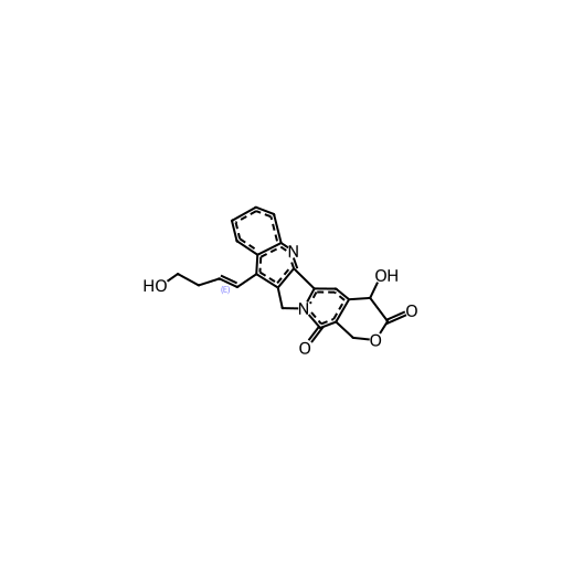 O=C1OCc2c(cc3n(c2=O)Cc2c-3nc3ccccc3c2/C=C/CCO)C1O